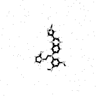 COc1cc(OC)cc(N(CCN2CCCC2=O)c2ccc3ncc(-c4cnn(C)c4)nc3c2)c1